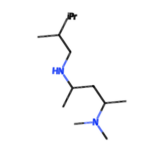 CC(CC(C)N(C)C)NCC(C)C(C)C